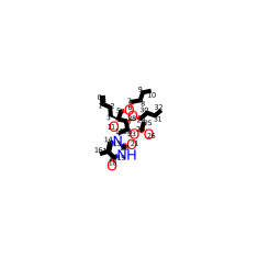 C=CCC[C@]1(COCCCC)O[C@@H](n2cc(C)c(=O)[nH]c2=O)[C@@H](OC(C)=O)C1OCCCC